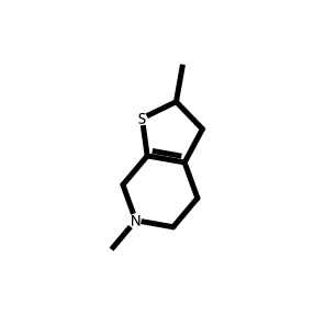 CC1CC2=C(CN(C)CC2)S1